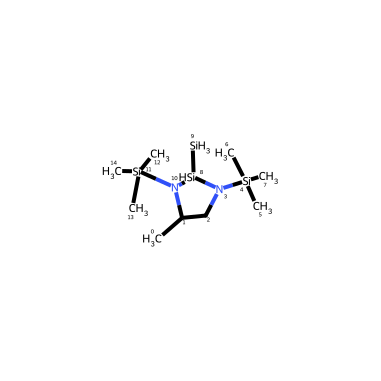 CC1CN([Si](C)(C)C)[SiH]([SiH3])N1[Si](C)(C)C